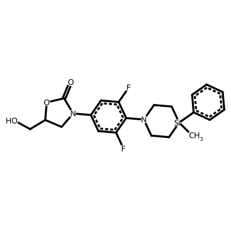 C[Si]1(c2ccccc2)CCN(c2c(F)cc(N3CC(CO)OC3=O)cc2F)CC1